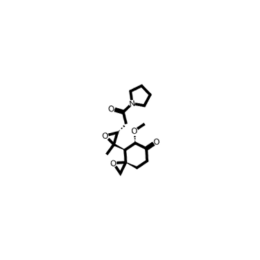 CO[C@@H]1C(=O)CC[C@]2(CO2)[C@H]1C1(C)O[C@@H]1CC(=O)N1CCCC1